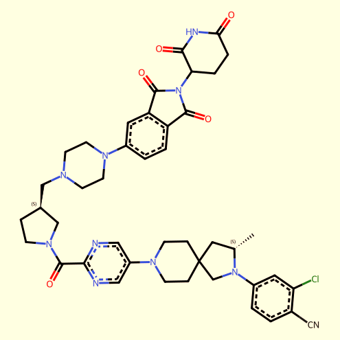 C[C@H]1CC2(CCN(c3cnc(C(=O)N4CC[C@@H](CN5CCN(c6ccc7c(c6)C(=O)N(C6CCC(=O)NC6=O)C7=O)CC5)C4)nc3)CC2)CN1c1ccc(C#N)c(Cl)c1